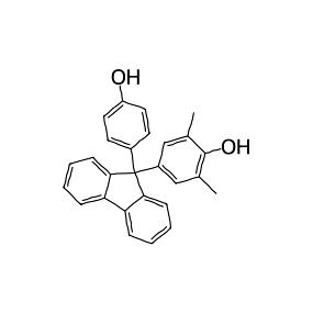 Cc1cc(C2(c3ccc(O)cc3)c3ccccc3-c3ccccc32)cc(C)c1O